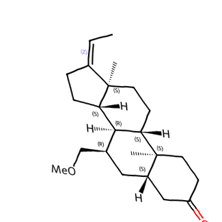 C/C=C1/CC[C@H]2[C@@H]3[C@H](COC)C[C@H]4CC(=O)CC[C@]4(C)[C@H]3CC[C@]12C